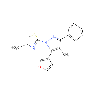 Cc1c(-c2ccccc2)nn(-c2nc(C(=O)O)cs2)c1-c1ccoc1